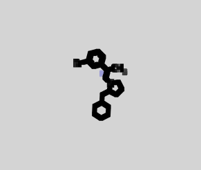 C/C(=C\N1CCCC1CC1CCCCC1)c1cccc(Br)c1